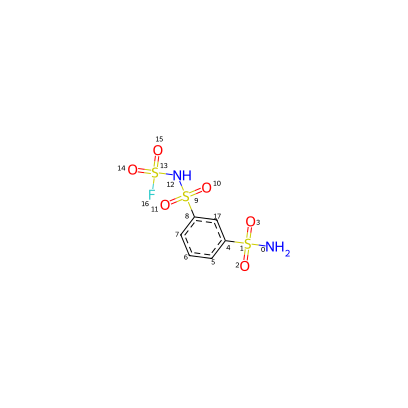 NS(=O)(=O)c1cccc(S(=O)(=O)NS(=O)(=O)F)c1